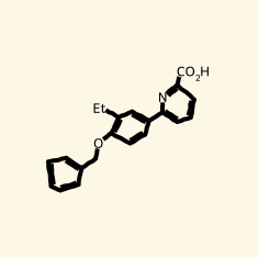 CCc1cc(-c2cccc(C(=O)O)n2)ccc1OCc1ccccc1